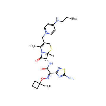 CNCCNc1cc[n+](CC2=C(C(=O)O)N3C(=O)[C@@H](NC(=O)/C(=N\OC4(C(=O)O)CCC4)c4nsc(N)n4)[C@H]3SC2)cc1